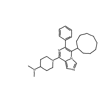 CN(C)C1CCN(c2nc(-c3ccccc3)c(C3CCCCCCCC3)n3cncc23)CC1